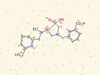 CCN(CCN(Cc1cccc(C(=O)O)n1)CP(=O)(O)O)Cc1cccc(C(=O)O)n1